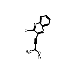 CCOC(C)C#Cc1nc2ccccc2nc1Cl